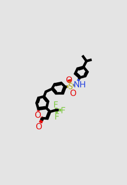 CC(C)c1ccc(NS(=O)(=O)c2ccc(Cc3ccc4oc(=O)cc(C(F)(F)F)c4c3)cc2)cc1